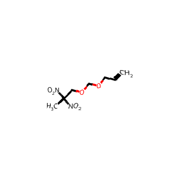 C=CCOCOCC(C)([N+](=O)[O-])[N+](=O)[O-]